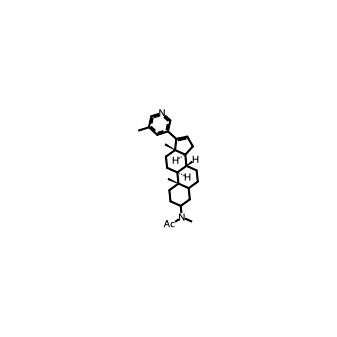 CC(=O)N(C)C1CC[C@@]2(C)C(CC[C@@H]3[C@@H]2CC[C@]2(C)C(c4cncc(C)c4)=CC[C@@H]32)C1